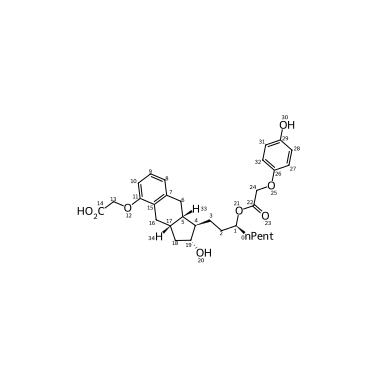 CCCCC[C@@H](CC[C@@H]1[C@H]2Cc3cccc(OCC(=O)O)c3C[C@H]2C[C@H]1O)OC(=O)COc1ccc(O)cc1